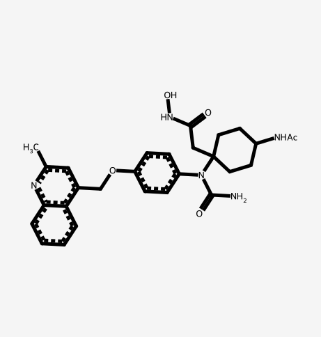 CC(=O)NC1CCC(CC(=O)NO)(N(C(N)=O)c2ccc(OCc3cc(C)nc4ccccc34)cc2)CC1